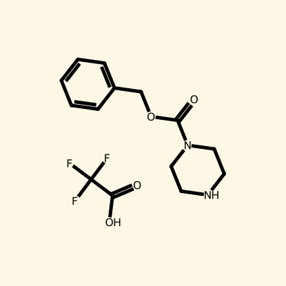 O=C(O)C(F)(F)F.O=C(OCc1ccccc1)N1CCNCC1